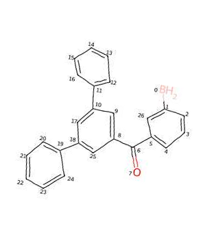 Bc1cccc(C(=O)c2cc(-c3ccccc3)cc(-c3ccccc3)c2)c1